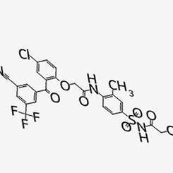 CCC(=O)NS(=O)(=O)c1ccc(NC(=O)COc2ccc(Cl)cc2C(=O)c2cc(C#N)cc(C(F)(F)F)c2)c(C)c1